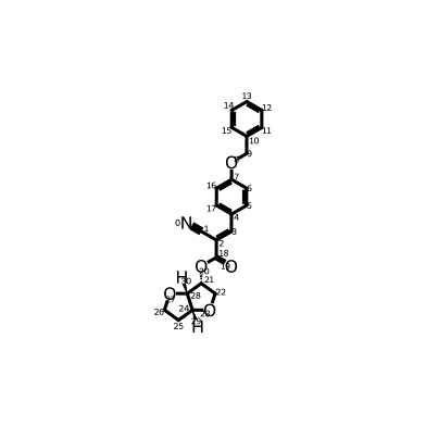 N#C/C(=C\c1ccc(OCc2ccccc2)cc1)C(=O)O[C@@H]1CO[C@@H]2CCO[C@@H]21